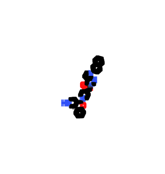 O=C([C@@H]1CCNC[C@H]1c1ccccc1)N1CCC(O)(Cn2cnc3c(ccn3-c3ccc4ccccc4c3)c2=O)CC1